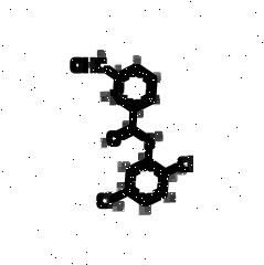 O=Cc1cccc(C(=O)Sc2cc(Cl)ccc2Cl)n1